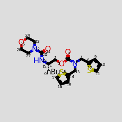 CCCC[C@@H](COC(=O)N(Cc1cccs1)Cc1cccs1)NC(=O)N1CCOCC1